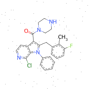 Cc1c(F)cccc1Cc1c(C(=O)N2CCNCC2)c2ccnc(Cl)c2n1-c1ccccc1